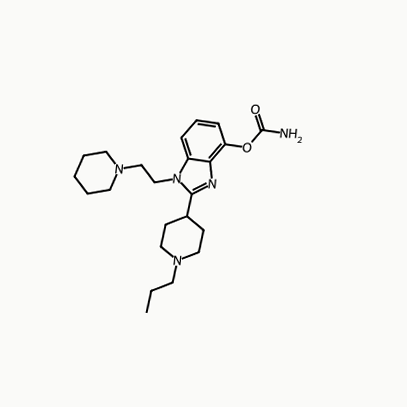 CCCN1CCC(c2nc3c(OC(N)=O)cccc3n2CCN2CCCCC2)CC1